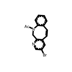 CC(=O)N1Cc2ncc(Br)cc2C=Cc2ccccc21